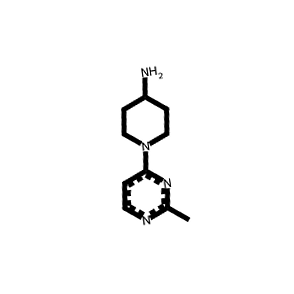 Cc1nccc(N2CCC(N)CC2)n1